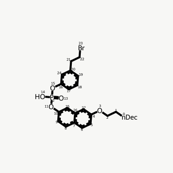 CCCCCCCCCCCCOc1ccc2ccc(OP(=O)(O)Oc3cccc(CCBr)c3)cc2c1